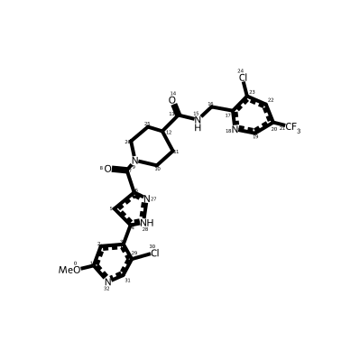 COc1cc(-c2cc(C(=O)N3CCC(C(=O)NCc4ncc(C(F)(F)F)cc4Cl)CC3)n[nH]2)c(Cl)cn1